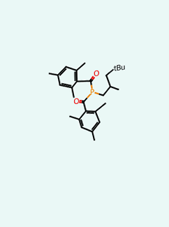 Cc1cc(C)c(C(=O)P(CC(C)CC(C)(C)C)C(=O)c2c(C)cc(C)cc2C)c(C)c1